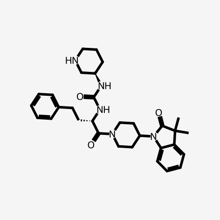 CC1(C)C(=O)N(C2CCN(C(=O)[C@H](CCc3ccccc3)NC(=O)N[C@@H]3CCCNC3)CC2)c2ccccc21